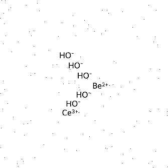 [Be+2].[Ce+3].[OH-].[OH-].[OH-].[OH-].[OH-]